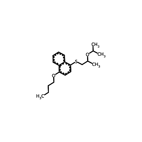 CCCCOc1ccc(SCC(C)OC(C)C)c2ccccc12